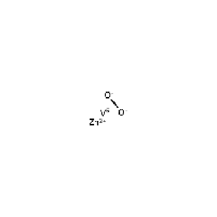 [O-][O-].[V+5].[Zn+2]